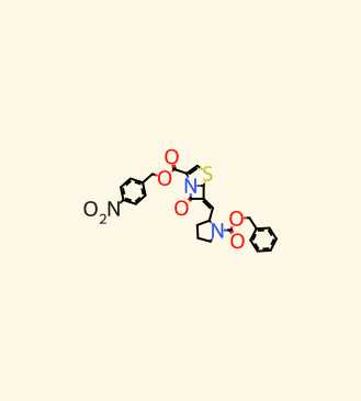 O=C(OCc1ccc([N+](=O)[O-])cc1)C1=CSC2C(=CC3CCCN3C(=O)OCc3ccccc3)C(=O)N12